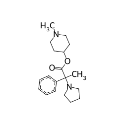 CN1CCC(OC(=O)C(C)(c2ccccc2)N2CCCC2)CC1